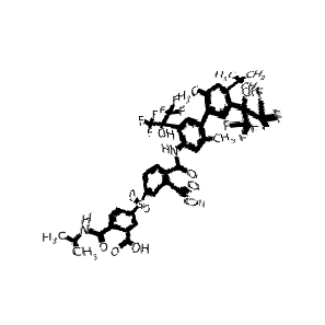 Cc1cc(NC(=O)c2ccc(S(=O)(=O)c3ccc(C(=O)NC(C)C)c(C(=O)O)c3)cc2C(=O)O)c(C(O)(C(F)(F)F)C(F)(F)F)cc1-c1cc(C(O)(C(F)(F)F)C(F)(F)F)c(C(C)(C)C)cc1C